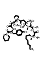 CC[C@H](C)[C@@H]([C@@H](CC(=O)N1CCC[C@H]1[C@H](OC)[C@@H](C)C(=O)N[C@@H](Cc1ccc(O)cc1)C(=O)N1CCCCO1)OC)N(C)C(=O)[C@@H](NC(=O)[C@H](C(C)C)N(C)CCCCCCN)C(C)C